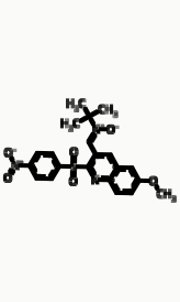 COc1ccc2nc(S(=O)(=O)c3ccc([N+](=O)[O-])cc3)c(/C=[N+](\[O-])C(C)(C)C)cc2c1